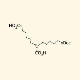 CCCCCCCCCCCCCCCC1C(CCCCCCC(=O)O)C1C(=O)O